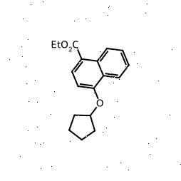 CCOC(=O)c1ccc(OC2CCCC2)c2ccccc12